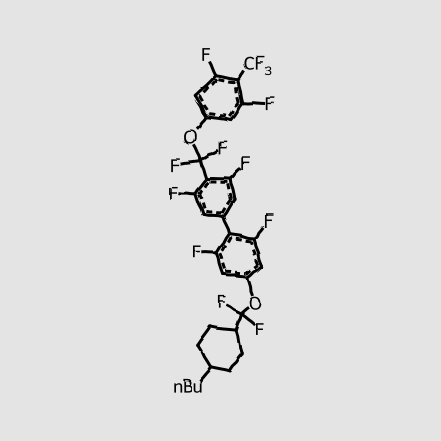 CCCCC1CCC(C(F)(F)Oc2cc(F)c(-c3cc(F)c(C(F)(F)Oc4cc(F)c(C(F)(F)F)c(F)c4)c(F)c3)c(F)c2)CC1